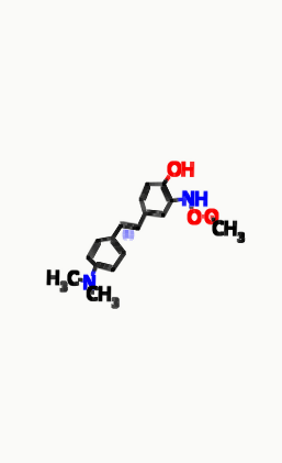 COONc1cc(/C=C/c2ccc(N(C)C)cc2)ccc1O